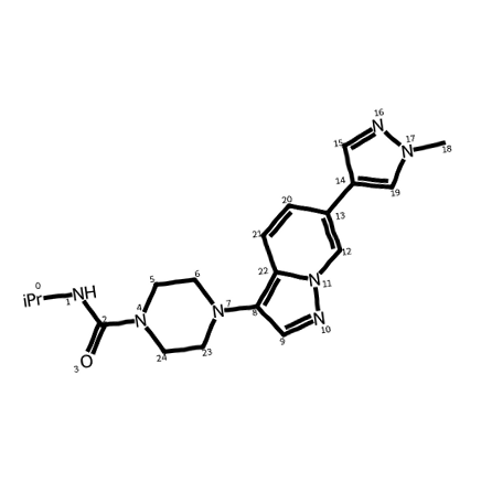 CC(C)NC(=O)N1CCN(c2cnn3cc(-c4cnn(C)c4)ccc23)CC1